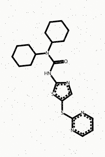 O=C(Nc1ncc(Sc2ncccn2)s1)N(C1CCCCC1)C1CCCCC1